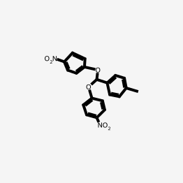 Cc1ccc(C(Oc2ccc([N+](=O)[O-])cc2)Oc2ccc([N+](=O)[O-])cc2)cc1